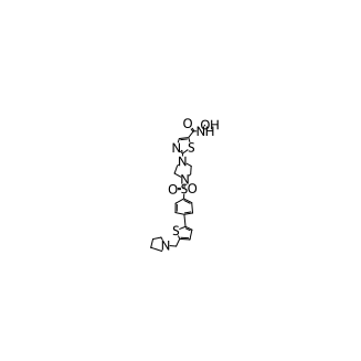 O=C(NO)c1cnc(N2CCN(S(=O)(=O)c3ccc(-c4ccc(CN5CCCC5)s4)cc3)CC2)s1